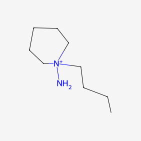 CCCC[N+]1(N)CCCCC1